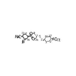 CCCCCCCC[C@H]1CC[C@H](CC[C@H]2CO[C@H](c3ccc(C#N)c(F)c3)OC2)CC1